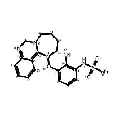 CCCS(=O)(=O)Nc1cccc(ON2CCCCN3CN=c4ccccc4=C32)c1C#N